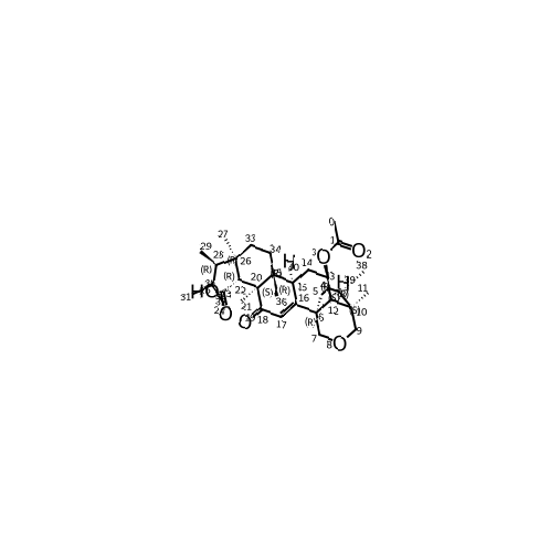 CC(=O)O[C@@H]1C[C@@]23COC[C@@](C)([C@@H]2CC[C@H]2C3=CC(=O)[C@@]3(C)[C@H](C(=O)O)[C@@](C)([C@H](C)C(C)C)CC[C@]23C)[C@H]1C